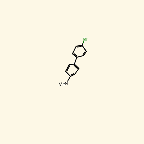 CNc1ccc(-c2ccc(Br)cc2)cc1